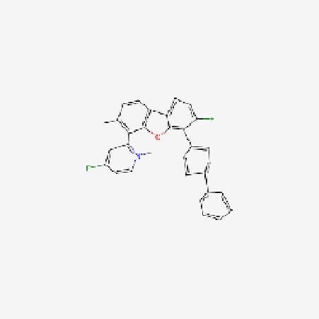 Cc1ccc2c(oc3c(-c4ccc(-c5ccccc5)cc4)c(F)ccc32)c1-c1cc(F)cc[n+]1C